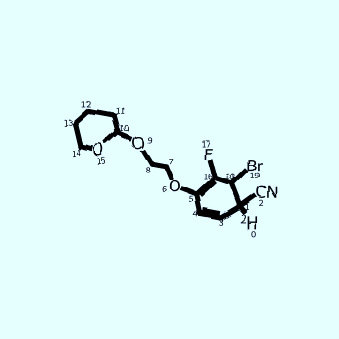 [2H]C1(C#N)C=CC(OCCOC2CCCCO2)=C(F)C1Br